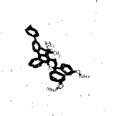 CCCCOc1ccc(C2(c3ccc(OCCCC)cc3)C=Cc3c4c(c5ccccc5c3O2)-c2ccc(-c3ccccc3)cc2C4(C)C)cc1